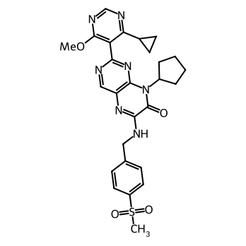 COc1ncnc(C2CC2)c1-c1ncc2nc(NCc3ccc(S(C)(=O)=O)cc3)c(=O)n(C3CCCC3)c2n1